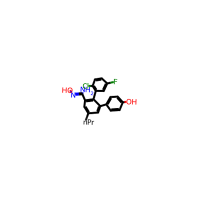 CCCc1cc(C(N)=NO)c(-c2cc(F)ccc2Cl)c(-c2ccc(O)cc2)c1